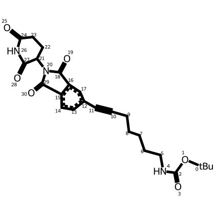 CC(C)(C)OC(=O)NCCCCCC#Cc1ccc2c(c1)C(=O)N(C1CCC(=O)NC1=O)C2=O